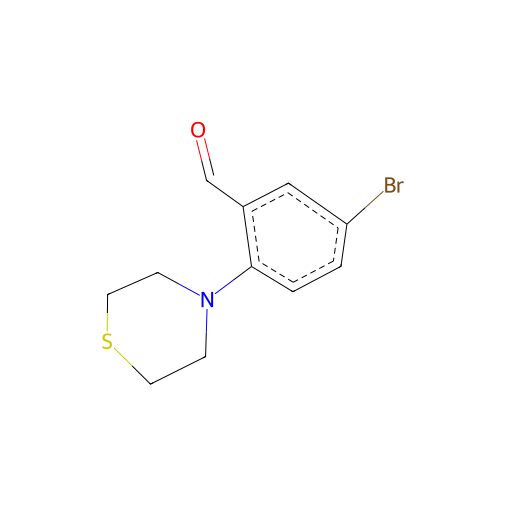 O=Cc1cc(Br)ccc1N1CCSCC1